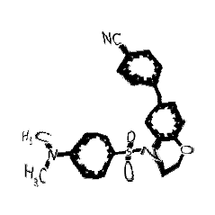 CN(C)c1ccc(S(=O)(=O)N2CCOc3ccc(-c4ccc(C#N)cc4)cc32)cc1